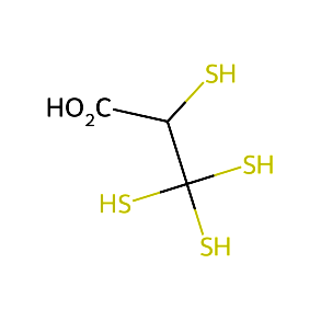 O=C(O)C(S)C(S)(S)S